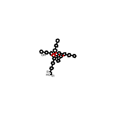 CCC(O)CC(CC)c1ccc(-c2ccc(-c3cc(C4(C5C=C(c6ccc(-c7ccc(C8CCCCC8O)cc7)cc6)Cc6ccc(-c7ccc(-c8ccc(-c9ccccc9)cc8)cc7)cc65)c5ccccc5-c5ccccc54)c4cc(C5CCC(c6ccc(C7CCCCC7)cc6)CC5)ccc4c3)cc2)cc1